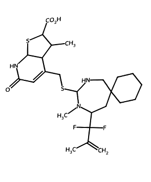 C=C(C)C(F)(F)C1CC2(CCCCC2)CNC(SCC2=CC(=O)NC3SC(C(=O)O)C(C)C23)N1C